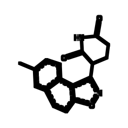 Cc1ccc2c(ccc3onc(C4CCC(=O)NC4=O)c32)c1